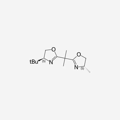 C[C@H]1COC(C(C)(C)C2=N[C@@H](C(C)(C)C)CO2)=N1